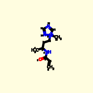 C=CC(=O)NC(C)CC[N+]1(C)C=NC=N1